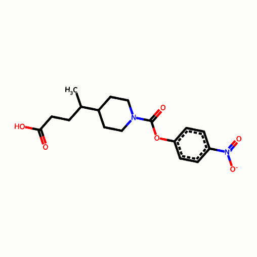 CC(CCC(=O)O)C1CCN(C(=O)Oc2ccc([N+](=O)[O-])cc2)CC1